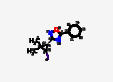 CC1(C)[C@H](I)[C@H]1c1noc(-c2ccccc2)n1